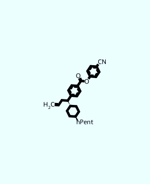 C=CCC(c1ccc(C(=O)Oc2ccc(C#N)cc2)cc1)[C@H]1CC[C@H](CCCCC)CC1